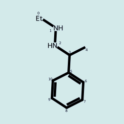 CCNNC(C)c1ccccc1